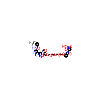 Cc1ncc(NC(=O)c2cccc(C(F)(F)F)c2)cc1-c1cnc(OCCOCCOCCOCCOCCOc2cccc3c2CN(C2CCC(=O)N(CO)C2=O)C3=O)c(N2CCOCC2)c1